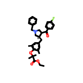 CCOC(=O)C(C)(C)Oc1c(C)cc(C[C@H]2CN(Cc3ccccc3)CC2C(=O)c2ccc(F)cc2)cc1C